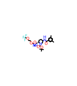 Cc1cc(C)cc(C(=O)NC2CC[C@@H](c3nnc(OCCOC(F)(F)F)o3)N(C(=O)OC(C)(C)C)C2)c1